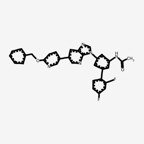 CC(=O)Nc1cc(-c2ccc(F)cc2F)cc(-n2cnc3cc(-c4ccc(OCc5ccccc5)nc4)cnc32)c1